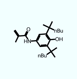 C=C(C)C(=O)Nc1cc(C(C)(C)CCCC)c(O)c(C(C)(C)CCCC)c1